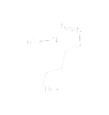 CCCCCCCCc1cnnn1CCCC